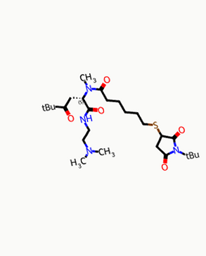 CN(C)CCNC(=O)[C@H](CC(=O)C(C)(C)C)N(C)C(=O)CCCCCSC1CC(=O)N(C(C)(C)C)C1=O